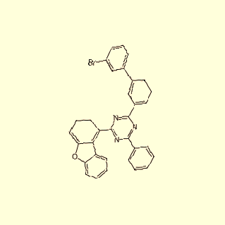 Brc1cccc(C2=CC(c3nc(C4=c5c(oc6ccccc56)=CCC4)nc(-c4ccccc4)n3)=CCC2)c1